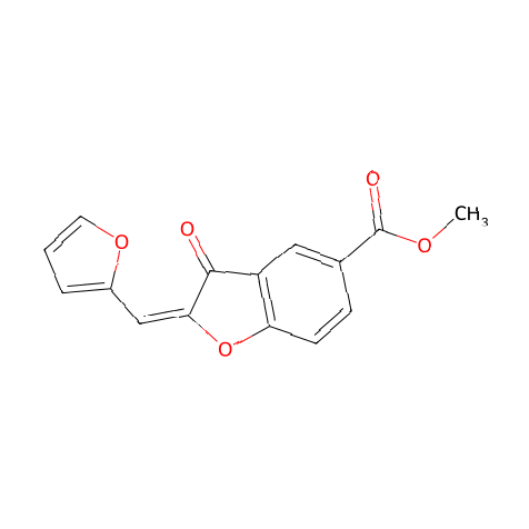 COC(=O)c1ccc2c(c1)C(=O)C(=Cc1ccco1)O2